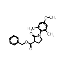 COc1cc(C)c(N2CCC(C(=O)OCc3ccccc3)C2=O)c(C)c1